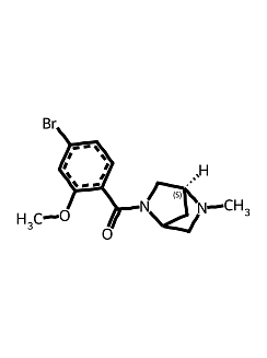 COc1cc(Br)ccc1C(=O)N1C[C@@H]2CC1CN2C